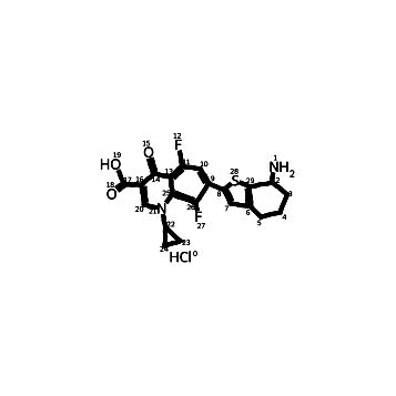 Cl.NC1CCCc2cc(-c3cc(F)c4c(=O)c(C(=O)O)cn(C5CC5)c4c3F)sc21